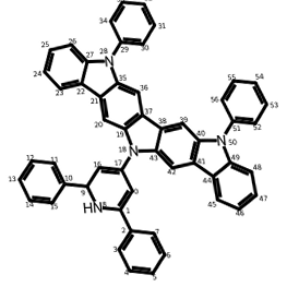 C1=C(c2ccccc2)NC(c2ccccc2)C=C1n1c2cc3c4ccccc4n(-c4ccccc4)c3cc2c2cc3c(cc21)c1ccccc1n3-c1ccccc1